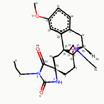 CCN1C(=O)N[C@]2(CC[C@@]3(O)[C@H]4Cc5ccc(OC)cc5[C@@]3(CCN4C)C2)C1=O